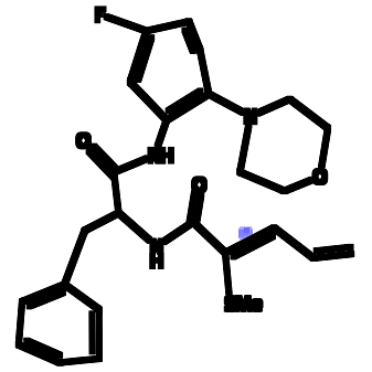 C=C/C=C(\SC)C(=O)NC(Cc1ccccc1)C(=O)Nc1cc(F)ccc1N1CCOCC1